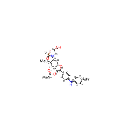 CNC(=O)Oc1c(-c2ccc(Nc3ccc(C(C)C)cc3)cc2)oc2cc(N(CCO)S(C)(=O)=O)c(OC)cc12